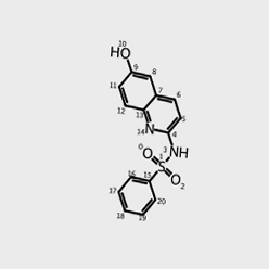 O=S(=O)(Nc1ccc2cc(O)ccc2n1)c1ccccc1